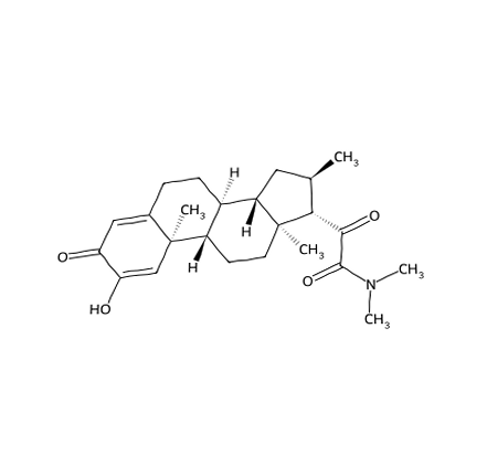 C[C@@H]1C[C@H]2[C@@H]3CCC4=CC(=O)C(O)=C[C@]4(C)[C@H]3CC[C@]2(C)[C@H]1C(=O)C(=O)N(C)C